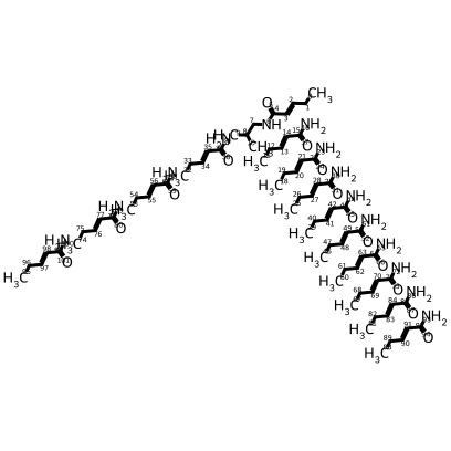 CCC=CC(=O)NCC(C)C.CCC=CC(N)=O.CCC=CC(N)=O.CCC=CC(N)=O.CCC=CC(N)=O.CCC=CC(N)=O.CCC=CC(N)=O.CCC=CC(N)=O.CCC=CC(N)=O.CCC=CC(N)=O.CCC=CC(N)=O.CCC=CC(N)=O.CCC=CC(N)=O.CCC=CC(N)=O